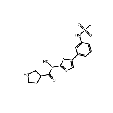 CS(=O)(=O)Nc1cccc(-c2cnc(N(C#N)C(=O)C3CCNC3)s2)c1